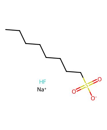 CCCCCCCCS(=O)(=O)[O-].F.[Na+]